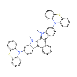 CN1c2c(c3ccccc3c3c4ccc(N5c6ccccc6Sc6ccccc65)cc4n(C)c23)C2C=CC(N3c4ccccc4Sc4ccccc43)=CC21